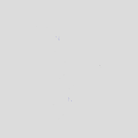 CC(=O)OCCCc1ccccc1N(c1ccccc1)c1ccc(-c2ccc(N(c3ccccc3)c3ccccc3)cc2)cc1